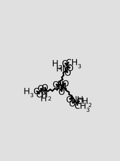 C=C(C)C(=O)NC(=O)CCCCCn1c(=O)n(CCCCCC(=O)NC(=O)C(=C)C)c(=O)n(CCCCCC(=O)NC(=O)C(=C)C)c1=O